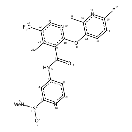 CN[S@@+]([O-])c1cc(NC(=O)c2c(Oc3ccc(F)nc3C)ncc(C(F)(F)F)c2C)ccn1